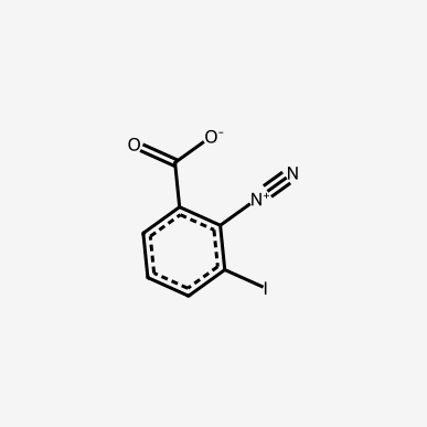 N#[N+]c1c(I)cccc1C(=O)[O-]